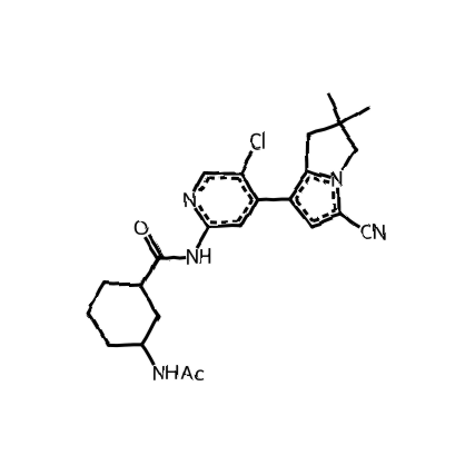 CC(=O)NC1CCCC(C(=O)Nc2cc(-c3cc(C#N)n4c3CC(C)(C)C4)c(Cl)cn2)C1